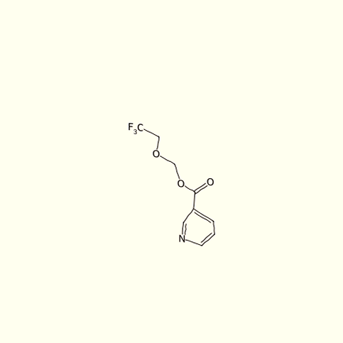 O=C(OCOCC(F)(F)F)c1cccnc1